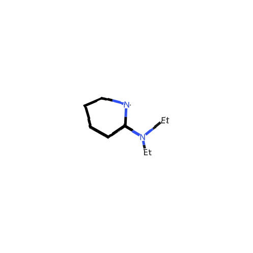 CCN(CC)C1CCCC[N]1